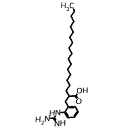 CCCCCCCCCCCCCCCCCC(Cc1ccccc1NC(=N)N)C(=O)O